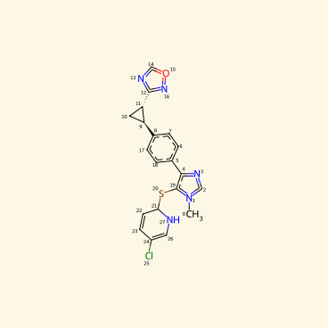 Cn1cnc(-c2ccc([C@H]3C[C@@H]3c3ncon3)cc2)c1SC1C=CC(Cl)=CN1